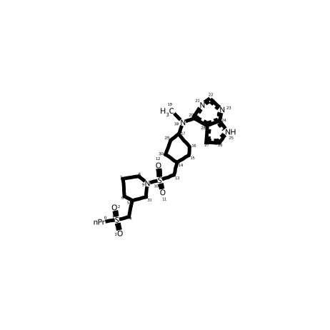 CCCS(=O)(=O)CC1CCCN(S(=O)(=O)CC2CCC(N(C)c3ncnc4[nH]ccc34)CC2)C1